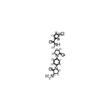 N[C@@H]1CCN(c2ccc(N3C[C@H](CNC(=O)c4ccc(Cl)s4)CC3=O)cc2)C1=O